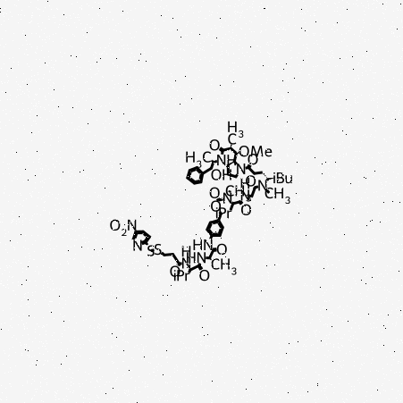 CC[C@H](C)[C@@H](CCC(=O)N1CCC[C@H]1[C@H](OC)[C@@H](C)C(=O)N[C@H](C)[C@@H](O)c1ccccc1)N(C)C(=O)CNC(=O)C(C(C)C)N(C)C(=O)OCc1ccc(NC(=O)[C@H](C)NC(=O)C(NC(=O)CCSSc2ccc([N+](=O)[O-])cn2)C(C)C)cc1